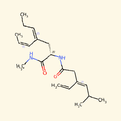 C=C/C(=C\C(C)C)CC(=O)N[C@@H](CC(/C=C\C)=C/CC)C(=O)NC